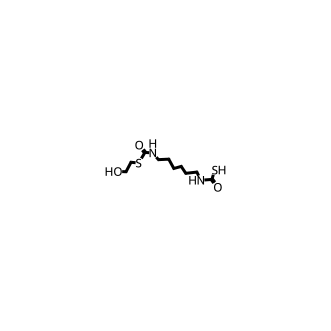 O=C(S)NCCCCCCNC(=O)SCCO